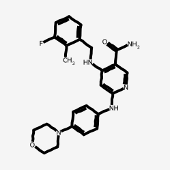 Cc1c(F)cccc1CNc1cc(Nc2ccc(N3CCOCC3)cc2)ncc1C(N)=O